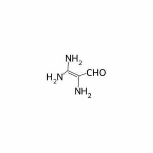 NC(N)=C(N)C=O